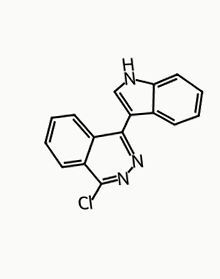 Clc1nnc(-c2c[nH]c3ccccc23)c2ccccc12